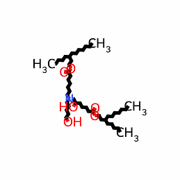 CCCCCCCC(CCCCC)CCOC(=O)CCCCCCN(CCCCCO)CC(O)CCCCC(=O)OCCC(CCCCC)CCCCCCC